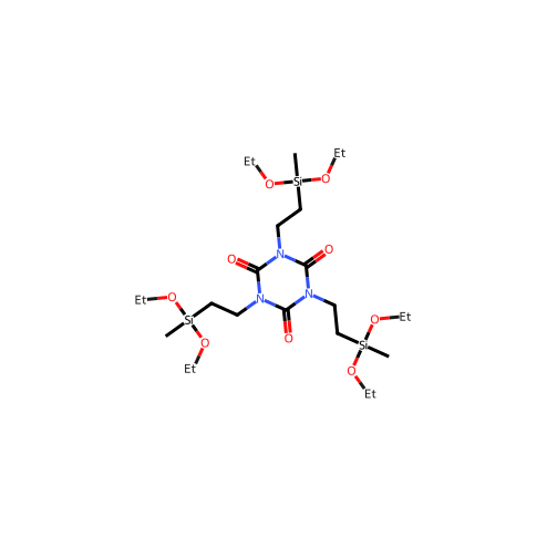 CCO[Si](C)(CCn1c(=O)n(CC[Si](C)(OCC)OCC)c(=O)n(CC[Si](C)(OCC)OCC)c1=O)OCC